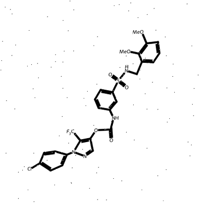 COc1cccc(CNS(=O)(=O)c2cccc(NC(=O)Oc3cnn(-c4ccc(Cl)cc4)c3C(F)(F)F)c2)c1OC